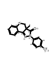 CC12CSc3ccccc3C1=NN(c1ccc(C(F)(F)F)cc1)C2=O